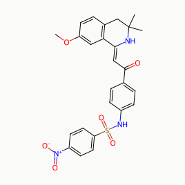 COc1ccc2c(c1)C(=CC(=O)c1ccc(NS(=O)(=O)c3ccc([N+](=O)[O-])cc3)cc1)NC(C)(C)C2